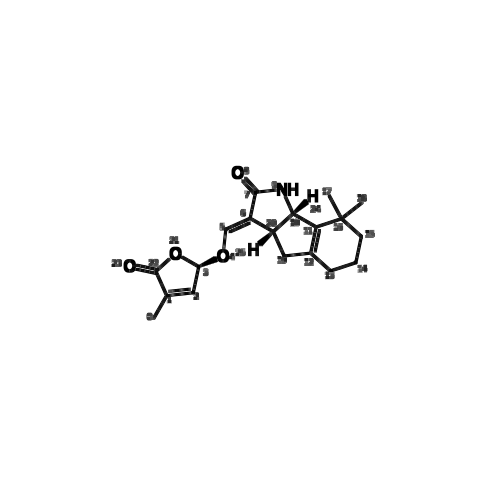 CC1=C[C@H](O/C=C2/C(=O)N[C@@H]3C4=C(CCCC4(C)C)C[C@H]23)OC1=O